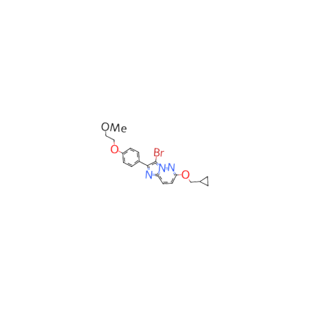 COCCOc1ccc(-c2nc3ccc(OCC4CC4)nn3c2Br)cc1